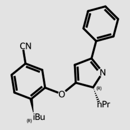 CCC[C@H]1N=C(c2ccccc2)C=C1Oc1cc(C#N)ccc1[C@H](C)CC